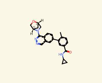 Cc1ccc(C(=O)NC2CC2)cc1-c1ccc2c(N3C[C@@H]4C[C@H]3CO4)nncc2c1